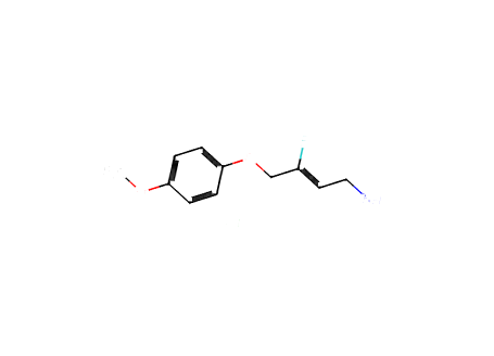 Cl.NCC=C(F)COc1ccc(OC(F)(F)F)cc1